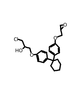 OC(CCl)COc1ccc(C2(c3ccc(OCC4CO4)cc3)CCCCC2)cc1